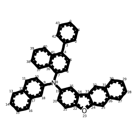 c1ccc(-c2ccc(N(c3ccc4ccccc4c3)c3ccc4oc5cc6ccccc6cc5c4c3)c3ccccc23)cc1